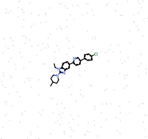 CCn1c(N2CCC(C)CC2)nc2cc(-c3ccc(-c4ccc(Cl)cc4)cn3)ccc21